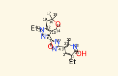 CCc1cc(-c2noc(-c3nn(CC)c4c3COC(C)(C)C4)n2)c(C)nc1O